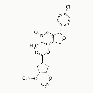 Cc1c(OC(=O)[C@H]2C[C@H](O[N+](=O)[O-])[C@H](O[N+](=O)[O-])C2)c2c(c[n+]1[O-])[C@H](c1ccc(Cl)cc1)OC2